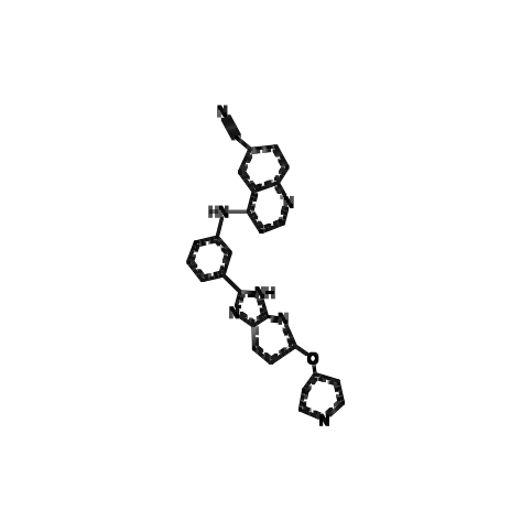 N#Cc1ccc2nccc(Nc3cccc(-c4nc5ccc(Oc6ccncc6)nc5[nH]4)c3)c2c1